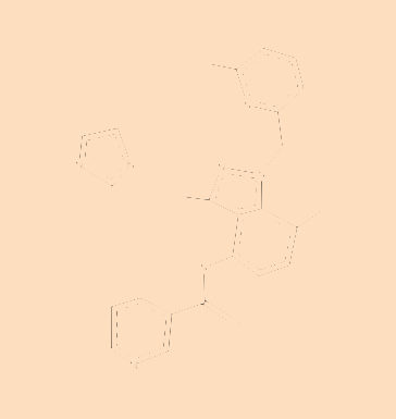 Cc1cccc(Cn2nc(C)c3c(NC(=O)c4cccnc4)ccc(F)c32)n1.c1c[nH]cn1